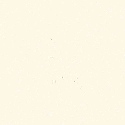 CN(C)CC(=O)N(C)c1ccc(NC(=C2C(=O)Nc3cc(Cl)ccc32)c2ccc(OCc3ccccc3)cc2)cc1